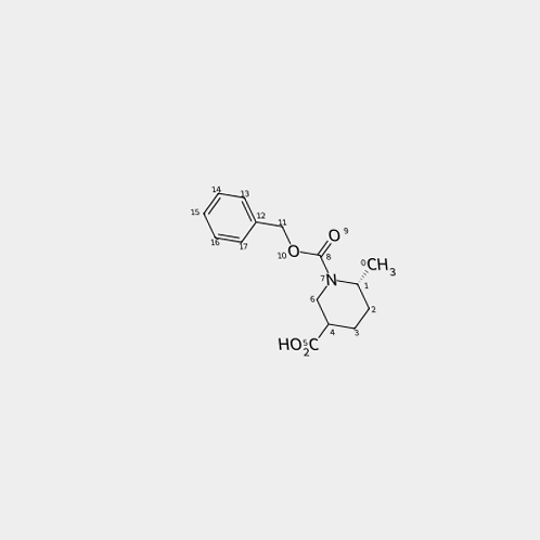 C[C@@H]1CCC(C(=O)O)CN1C(=O)OCc1ccccc1